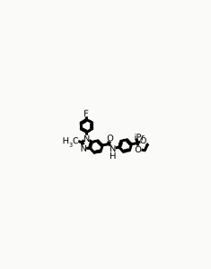 Cc1nc2ccc(C(=O)Nc3ccc(C4(C(C)C)OCCO4)cc3)cc2n1-c1ccc(F)cc1